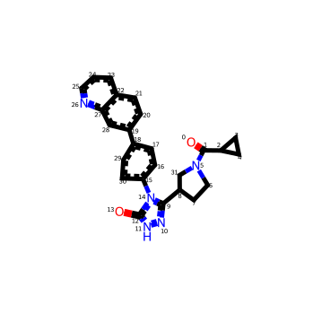 O=C(C1CC1)N1CCC(c2n[nH]c(=O)n2-c2ccc(-c3ccc4cccnc4c3)cc2)C1